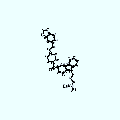 CCN(CC)CCCn1c2ccccc2c2cc(C(=O)N3CCN(CCc4ccc5c(c4)OCO5)CC3)ccc21